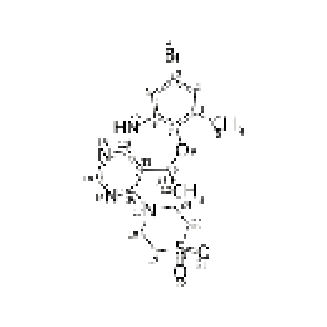 Cc1cc(Br)cc2c1O[C@@H](C)c1c(ncnc1N1CCS(=O)(=O)CC1)N2